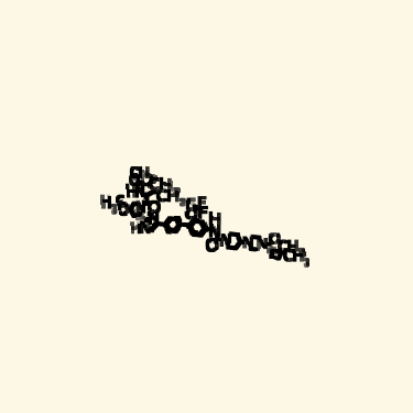 COC(=O)NC(C(=O)N1C[C@@H](OC)C[C@H]1c1nc(-c2ccc(-c3ccc(NC(=O)N4CCC(N5CCN(C(=O)[C@H]6CCC6(C)C)CC5)CC4)cc3OC(F)(F)F)cc2)c[nH]1)C(C)C